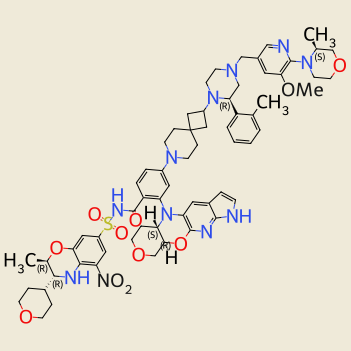 COc1cc(CN2CCN(C3CC4(CCN(c5ccc(C(=O)NS(=O)(=O)c6cc7c(c([N+](=O)[O-])c6)N[C@H](C6CCOCC6)[C@@H](C)O7)c(N6c7cc8cc[nH]c8nc7O[C@H]7COCC[C@@H]76)c5)CC4)C3)[C@H](c3ccccc3C)C2)cnc1N1CCOC[C@@H]1C